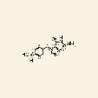 Nc1nc2ncn(Cc3ccc(BO)cc3)c2c(=O)[nH]1